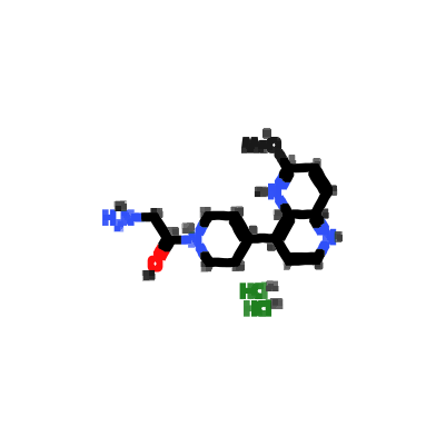 COc1ccc2nccc(C3=CCN(C(=O)CN)CC3)c2n1.Cl.Cl